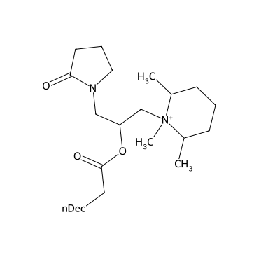 CCCCCCCCCCCC(=O)OC(CN1CCCC1=O)C[N+]1(C)C(C)CCCC1C